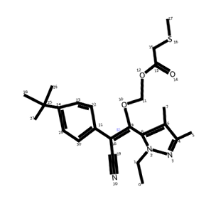 CCn1nc(C)c(C)c1/C(OCOC(=O)CSC)=C(\C#N)c1ccc(C(C)(C)C)cc1